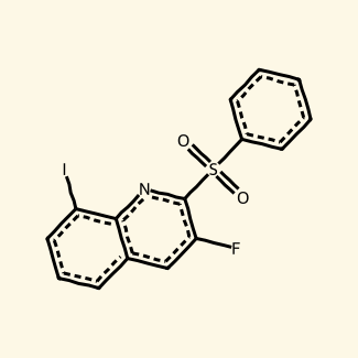 O=S(=O)(c1ccccc1)c1nc2c(I)cccc2cc1F